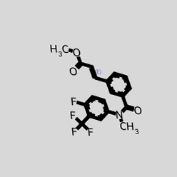 COC(=O)/C=C/c1cccc(C(=O)N(C)c2ccc(F)c(C(F)(F)F)c2)c1